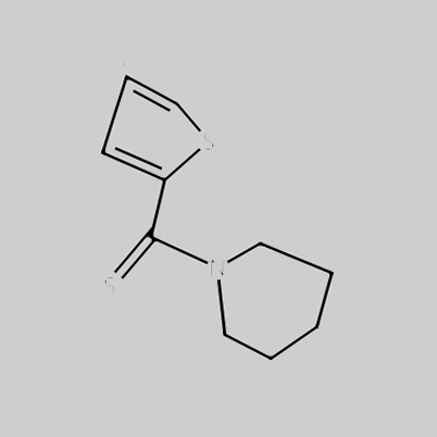 S=C(c1cccs1)N1CCCCC1